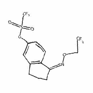 O=S(=O)(Oc1ccc2c(c1)CCC/C2=N/OCC(F)(F)F)C(F)(F)F